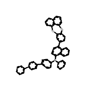 c1ccc(-c2ccc(-c3ccc(N(c4ccccc4)c4ccc(-c5ccc6c(c5)Oc5cccc7cccc(c57)O6)c5ccccc45)cc3)cc2)cc1